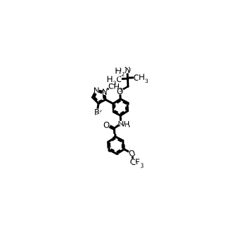 Cn1ncc(Br)c1-c1cc(NC(=O)c2cccc(OC(F)(F)F)c2)ccc1OCC(C)(C)N